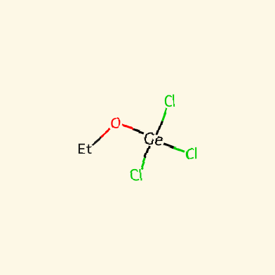 CC[O][Ge]([Cl])([Cl])[Cl]